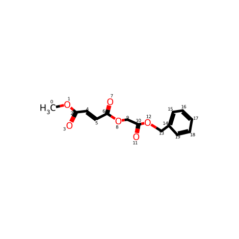 COC(=O)/C=C/C(=O)OCC(=O)OCc1ccccc1